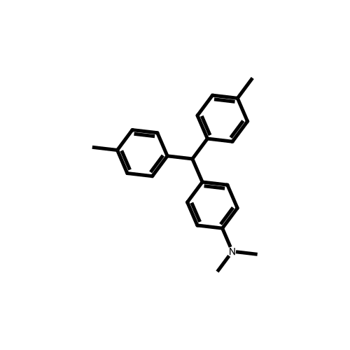 Cc1ccc(C(c2ccc(C)cc2)c2ccc(N(C)C)cc2)cc1